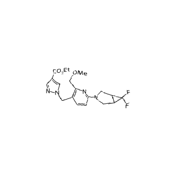 CCOC(=O)c1cnn(Cc2ccc(N3CC4C(C3)C4(F)F)nc2COC)c1